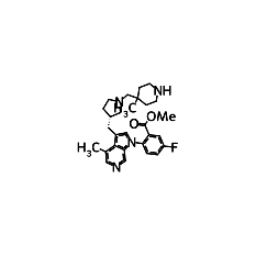 COC(=O)c1cc(F)ccc1-n1cc(C[C@@H]2CCN(CC3(C)CCNCC3)C2)c2c(C)cncc21